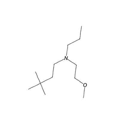 CCCN(CCOC)CCC(C)(C)C